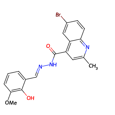 COc1cccc(C=NNC(=O)c2cc(C)nc3ccc(Br)cc23)c1O